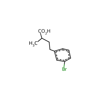 CC(CCc1cccc(Br)c1)C(=O)O